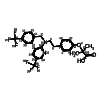 CC(C)(Oc1ccc(CCN(Cc2ccc(C(F)(F)F)cc2)c2ccc(C(F)(F)F)cn2)cc1)C(=O)O